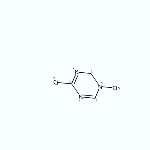 ClC1=NCN(Cl)C=N1